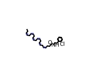 CC/C=C\C/C=C\C/C=C\C/C=C\C/C=C\C/C=C\CCC(=O)NCCc1ccccc1Cl